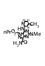 CCCOCCn1nc(C(N)=O)c2nc(NC)nc(Nc3cc(C)ccn3)c21